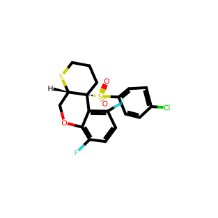 O=S(=O)(c1ccc(Cl)cc1)[C@@]12CCCS[C@H]1COc1c(F)ccc(F)c12